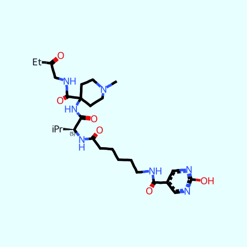 CCC(=O)CNC(=O)C1(NC(=O)[C@@H](NC(=O)CCCCCNC(=O)c2cnc(O)nc2)C(C)C)CCN(C)CC1